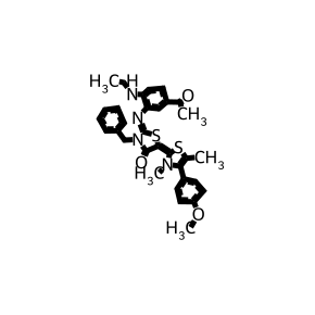 CCNc1ccc(C(C)=O)cc1N=C1S/C(=C2\SC(C)=C(c3ccc(OC)cc3)N2C)C(=O)N1Cc1ccccc1